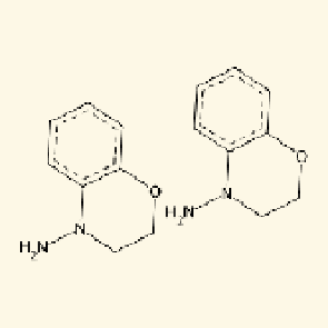 NN1CCOc2ccccc21.NN1CCOc2ccccc21